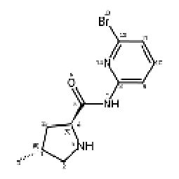 C[C@H]1CN[C@H](C(=O)Nc2cccc(Br)n2)C1